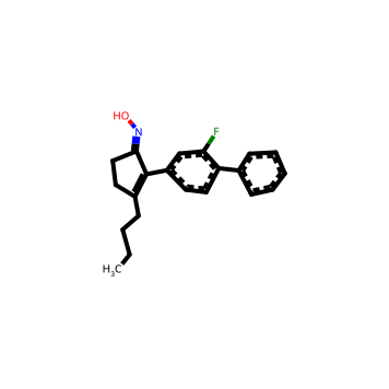 CCCCC1=C(c2ccc(-c3ccccc3)c(F)c2)C(=NO)CC1